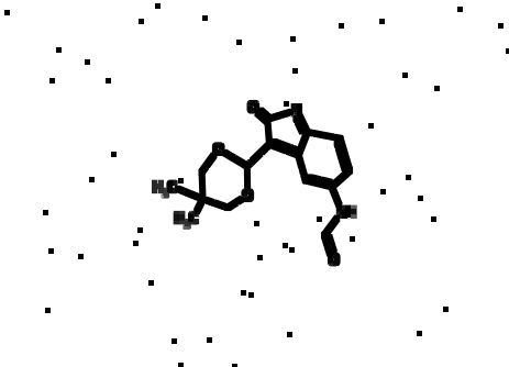 CC1(C)COC(C2=c3cc(NC=O)ccc3=NC2=O)OC1